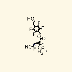 CC1(C)[C@H](C(=O)OCc2c(F)c(F)c(CCO)c(F)c2F)[C@@H]1/C=C(\F)C#N